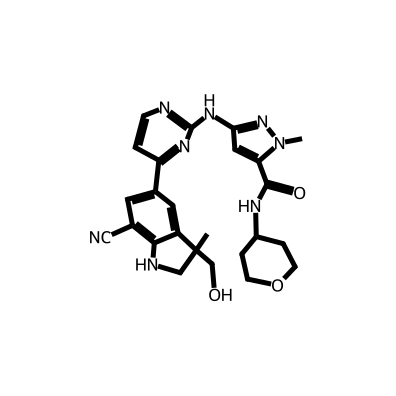 Cn1nc(Nc2nccc(-c3cc(C#N)c4c(c3)C(C)(CO)CN4)n2)cc1C(=O)NC1CCOCC1